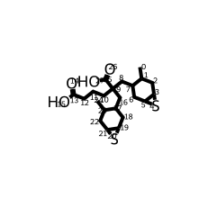 CC1CC2SC2CC1CC(CCCC(=O)O)(CC1CC2SC2CC1C)C(=O)O